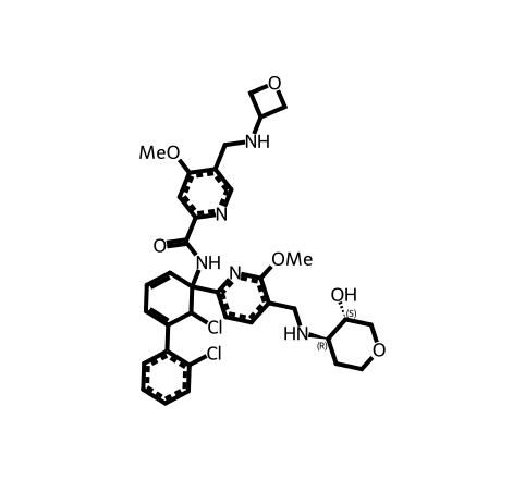 COc1cc(C(=O)NC2(c3ccc(CN[C@@H]4CCOC[C@H]4O)c(OC)n3)C=CC=C(c3ccccc3Cl)C2Cl)ncc1CNC1COC1